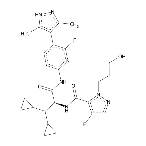 Cc1n[nH]c(C)c1-c1ccc(NC(=O)[C@@H](NC(=O)c2c(F)cnn2CCCO)C(C2CC2)C2CC2)nc1F